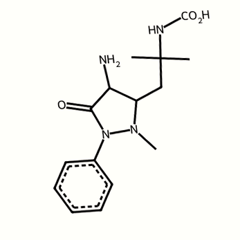 CN1C(CC(C)(C)NC(=O)O)C(N)C(=O)N1c1ccccc1